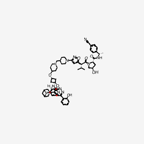 CC(C)[C@@H](C(=O)N1C[C@H](O)C[C@H]1C(=O)N[C@@H](C)c1ccc(C#N)cc1)c1cc(N2CCC(CN3CCC(O[C@H]4C[C@H](Oc5cc(N6C7CC6CN(c6cc(-c8ccccc8O)nnc6N)C7)ccn5)C4)CC3)CC2)no1